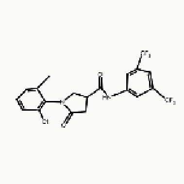 CCc1cccc(C)c1N1CC(C(=O)Nc2cc(C(F)(F)F)cc(C(F)(F)F)c2)CC1=O